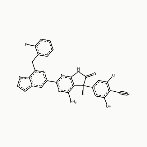 C[C@]1(c2cc(O)c(C#N)c(Cl)c2)C(=O)Nc2nc(-c3cn4ccnc4c(Cc4ccccc4F)n3)nc(N)c21